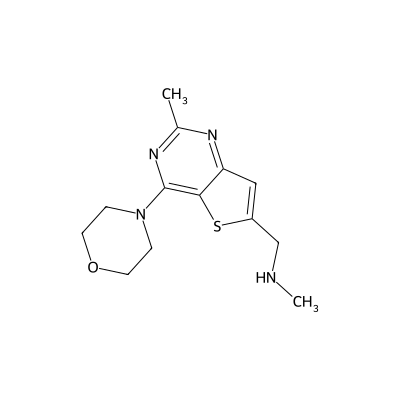 CNCc1cc2nc(C)nc(N3CCOCC3)c2s1